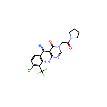 N=C(c1ccc(Cl)c(C(F)(F)F)c1)c1c(N)ncn(CC(=O)N2CCCC2)c1=O